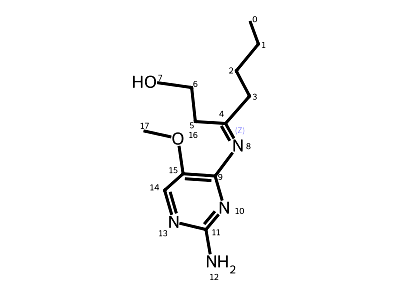 CCCC/C(CCO)=N/c1nc(N)ncc1OC